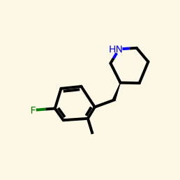 Cc1cc(F)ccc1C[C@@H]1CCCNC1